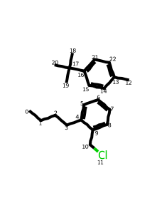 CCCCc1ccccc1CCl.Cc1ccc(C(C)(C)C)cc1